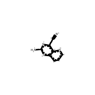 N#Cc1nc(N)nc2cccnc12